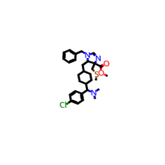 COC(=O)C1(CSC)N=CN(Cc2ccccc2)C1CC1CCC(C(c2ccc(Cl)cc2)N(C)C)CC1